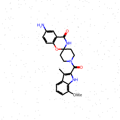 COc1cccc2c(C)c(C(=O)N3CCC4(CC3)NC(=O)c3cc(N)ccc3O4)[nH]c12